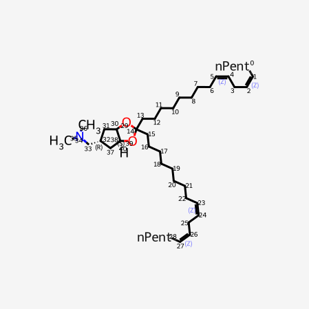 CCCCC/C=C\C/C=C\CCCCCCCCC1(CCCCCCCC/C=C\C/C=C\CCCCC)OC2C[C@@H](CN(C)C)C[C@@H]2O1